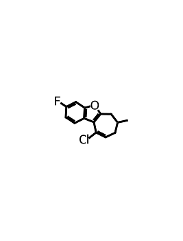 CC1CC=C(Cl)c2c(oc3cc(F)ccc23)C1